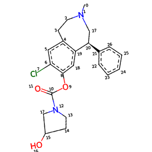 CN1CCc2cc(Cl)c(OC(=O)N3CCC(O)C3)cc2[C@H](c2ccccc2)C1